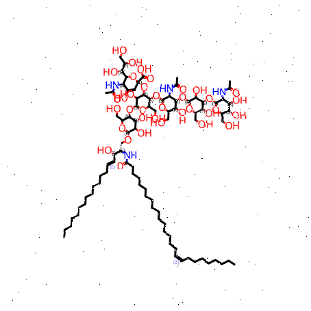 CCCCCCCC/C=C\CCCCCCCCCCCCCCCC(=O)N[C@@H](CO[C@@H]1OC(CO)[C@@H](O[C@@H]2OC(CO)[C@H](O[C@@H]3OC(CO)[C@H](O)[C@H](O[C@@H]4OC(CO)[C@H](O)[C@H](O[C@@H]5OC(CO)[C@@H](O)[C@H](O)C5NC(C)=O)C4O)C3NC(C)=O)[C@H](O[C@]3(C(=O)O)CC(O)[C@@H](NC(C)=O)C([C@H](O)[C@H](O)CO)O3)C2O)[C@H](O)C1O)[C@H](O)/C=C/CCCCCCCCCCCCC